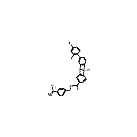 N=C(N)c1ccc(CNC(=O)c2ccc3c(c2)C2c4cc(-c5ccc(F)cc5F)ccc4[C@@H]32)cc1